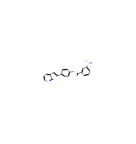 CN(C)c1cccc(C(=O)Nc2ccc(-c3cc4cccnc4o3)cc2)c1